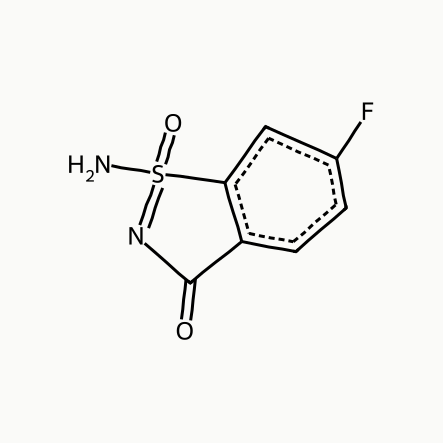 NS1(=O)=NC(=O)c2ccc(F)cc21